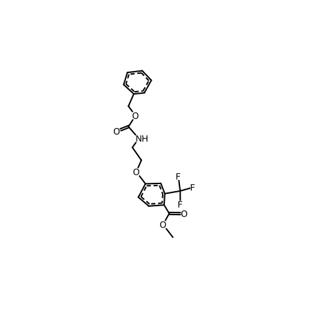 COC(=O)c1ccc(OCCNC(=O)OCc2ccccc2)cc1C(F)(F)F